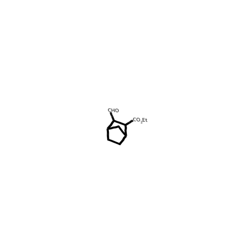 CCOC(=O)C1C2CCC(C2)C1C=O